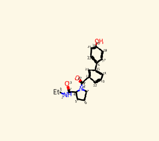 CCNC(=O)C1CCCN1C(=O)c1cccc(-c2ccc(O)cc2)c1